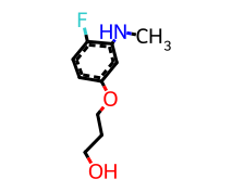 CNc1cc(OCCCO)ccc1F